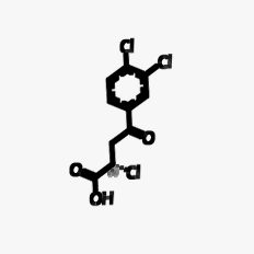 O=C(C[C@H](Cl)C(=O)O)c1ccc(Cl)c(Cl)c1